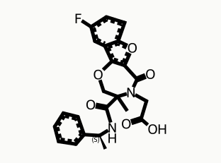 C[C@H](NC(=O)C1(C)COc2c(oc3ccc(F)cc23)C(=O)N1CC(=O)O)c1ccccc1